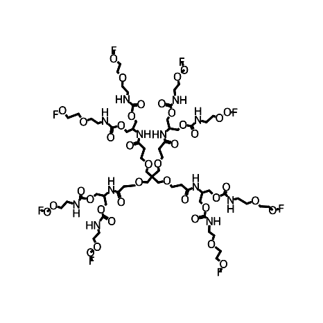 O=C(CCOCC(COCCC(=O)NC(COC(=O)NCCOCCOF)COC(=O)NCCOCCOF)(COCCC(=O)NC(COC(=O)NCCOOF)COC(=O)NCCOOF)COCCC(=O)NC(COC(=O)NCCOOF)COC(=O)NCCOOF)NC(COC(=O)NCCOCCOF)COC(=O)NCCOCCOF